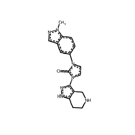 Cn1ncc2cc(-n3ccn(-c4n[nH]c5c4CNCC5)c3=O)ccc21